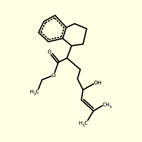 CCOC(=O)C(CCC(O)C=C(C)C)C1CCCc2ccccc21